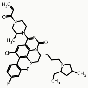 C=CC(=O)N1CCN(c2nc(=O)n3c4c(c(-c5ccc(F)cc5F)c(Cl)cc24)SC[C@H]3CCCN2C[C@@H](C)C[C@H]2CC)[C@@H](C)C1